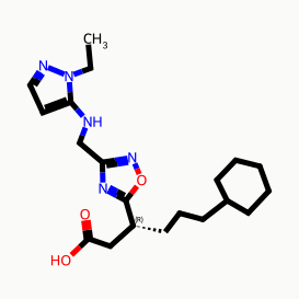 CCn1nccc1NCc1noc([C@H](CCCC2CCCCC2)CC(=O)O)n1